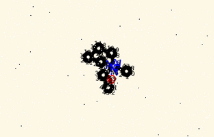 c1ccc(-c2nc(-c3cccc(-c4cccc(-c5ccccc5-c5ccccc5)c4)c3)nc(-c3cccc4c3oc3ccccc34)n2)cc1